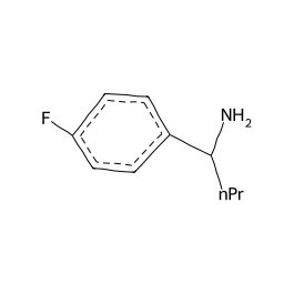 CCCC(N)c1ccc(F)cc1